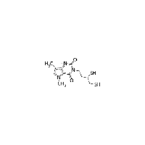 Cc1cn(C)c2c(=O)n(CCC(S)CS)c(=O)[nH]c12